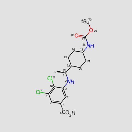 C[C@H](Nc1cc(C(=O)O)cc(Cl)c1Cl)C1CCC(NC(=O)OC(C)(C)C)CC1